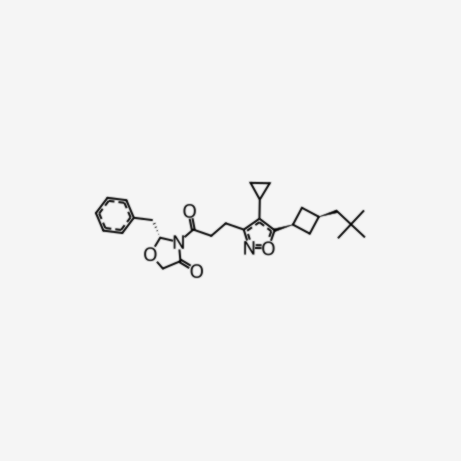 CC(C)(C)C[C@H]1C[C@@H](c2onc(CCC(=O)N3C(=O)CO[C@@H]3Cc3ccccc3)c2C2CC2)C1